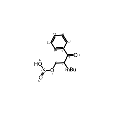 CCCCC(COS(=O)O)C(=O)c1ccccc1